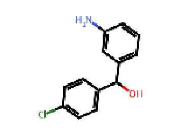 Nc1cccc(C(O)c2ccc(Cl)cc2)c1